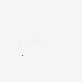 CC1(c2ccc([C@@H](NC(=O)[C@@H]3C[C@@H](F)CN3)c3ccccc3)nc2F)CC1